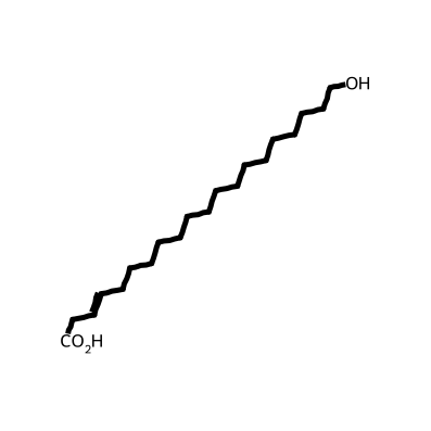 O=C(O)CC=CCCCCCCCCCCCCCCCCO